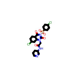 O=C(Cn1c(=O)n(S(=O)(=O)c2ccc(Cl)cc2)c(=O)c2ccc(Cl)cc21)Nc1cccnc1